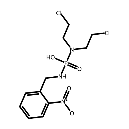 O=[N+]([O-])c1ccccc1CNP(=O)(O)N(CCCl)CCCl